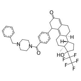 C[C@]12CCC3=C4C(=CC(=O)CC4c4ccc(C(=O)N5CCN(Cc6ccccc6)CC5)cc4)CC[C@H]3[C@@H]1CCC2(O)C(F)(F)C(F)(F)F